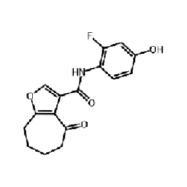 O=C(Nc1ccc(O)cc1F)c1coc2c1C(=O)CCCC2